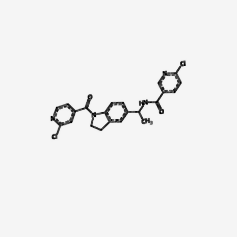 CC(NC(=O)c1ccc(Cl)nc1)c1ccc2c(c1)CCN2C(=O)c1ccnc(Cl)c1